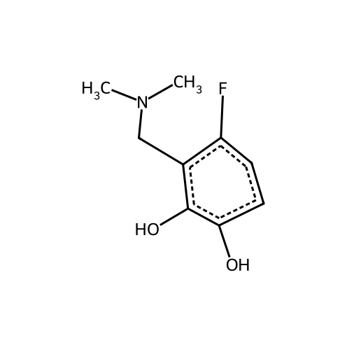 CN(C)Cc1c(F)ccc(O)c1O